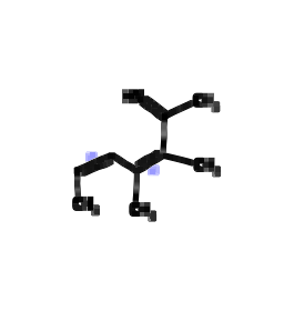 C/C=C\C(C)=C(\C)C(C)=N